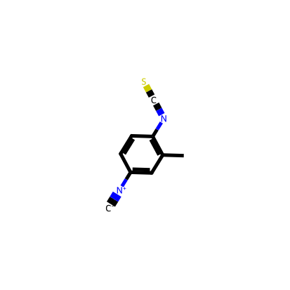 [C-]#[N+]c1ccc(N=C=S)c(C)c1